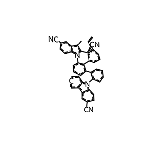 C=C/C=C\c1c(C)c2cc(C#N)ccc2n1-c1cccc(-c2ccccc2-n2c3ccccc3c3cc(C#N)ccc32)c1-c1cccc(C#N)c1